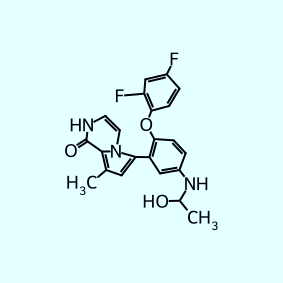 Cc1cc(-c2cc(NC(C)O)ccc2Oc2ccc(F)cc2F)n2cc[nH]c(=O)c12